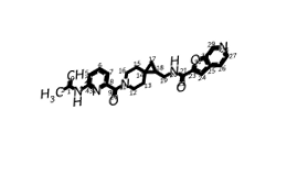 C=C(C)Nc1cccc(C(=O)N2CCC3(CC2)CC3CNC(=O)c2cc3ccncc3o2)n1